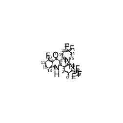 Cc1cc(-c2cc(=O)c3c(F)cccc3[nH]2)c(N2CCCC(F)(F)CC2)nc1C(F)(F)F